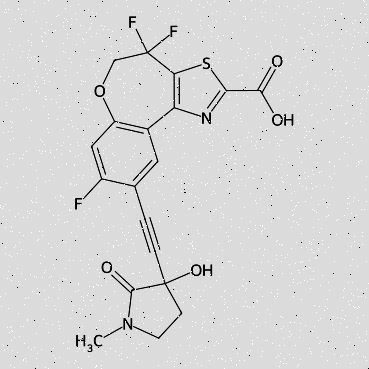 CN1CCC(O)(C#Cc2cc3c(cc2F)OCC(F)(F)c2sc(C(=O)O)nc2-3)C1=O